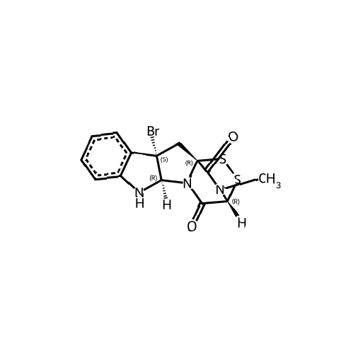 CN1C(=O)[C@]23C[C@]4(Br)c5ccccc5N[C@@H]4N2C(=O)[C@H]1SS3